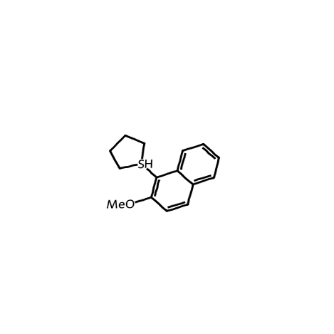 COc1ccc2ccccc2c1[SH]1CCCC1